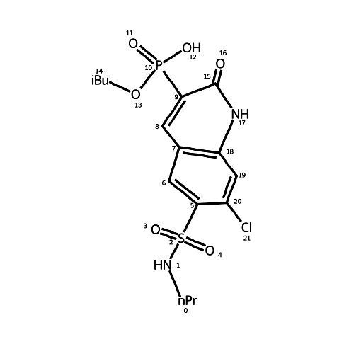 CCCNS(=O)(=O)c1cc2cc(P(=O)(O)OC(C)CC)c(=O)[nH]c2cc1Cl